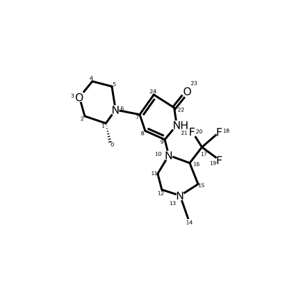 C[C@@H]1COCCN1c1cc(N2CCN(C)CC2C(F)(F)F)[nH]c(=O)c1